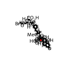 COc1c([C@@H]2O[C@@H]3C[C@H]4[C@@H]5CCC6=CC(=O)C=C[C@]6(C)[C@H]5[C@@H](O)C[C@]4(C)[C@]3(C(=O)COP(=O)(O)O)O2)csc1Cc1cccc(NC(=O)[C@H](CCC(=O)O)NC(=O)CNC(=O)CBr)c1